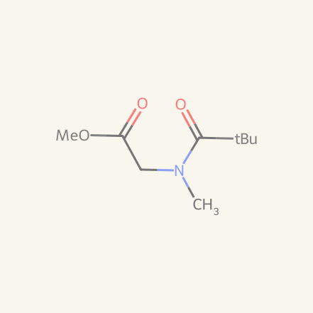 COC(=O)CN(C)C(=O)C(C)(C)C